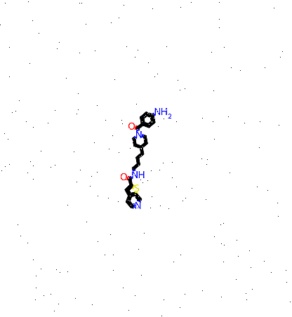 Nc1ccc(C(=O)N2CCC(CCCCNC(=O)c3cc4ccncc4s3)CC2)cc1